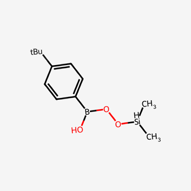 C[SiH](C)OOB(O)c1ccc(C(C)(C)C)cc1